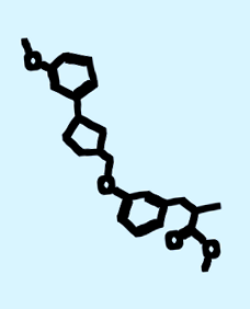 COC(=O)C(C)Cc1cccc(OCC2CCC(c3cccc(OC)c3)C2)c1